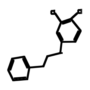 Clc1ccc([CH]CCc2ccccc2)cc1Cl